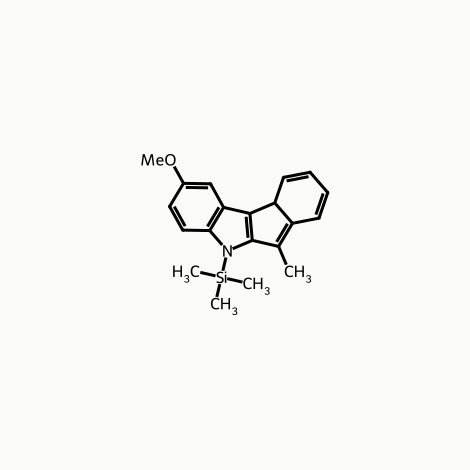 COc1ccc2c(c1)c1c(n2[Si](C)(C)C)C(C)=C2C=CC=CC21